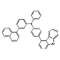 c1ccc(N(c2ccc(-c3cccc4oc5ccccc5c34)cc2)c2cccc(-c3cccc4ccccc34)c2)cc1